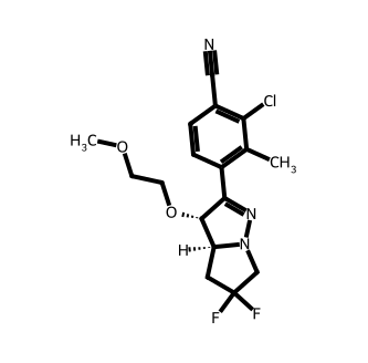 COCCO[C@@H]1C(c2ccc(C#N)c(Cl)c2C)=NN2CC(F)(F)C[C@@H]12